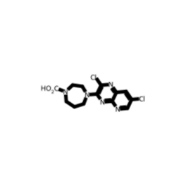 O=C(O)N1CCCN(c2nc3ncc(Cl)cc3nc2Cl)CC1